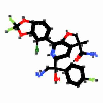 C[C@]1(C(N)=O)COc2c1cc([C@@](O)(CN)c1ccc(F)cc1)nc2-c1ccc2c(c1Cl)OC(F)(F)O2